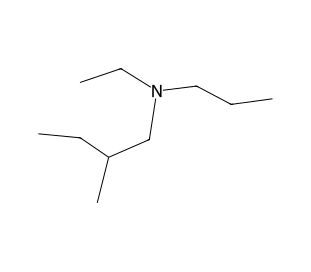 CCCN(CC)CC(C)CC